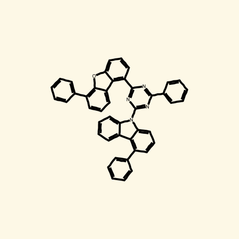 c1ccc(-c2nc(-c3cccc4oc5c(-c6ccccc6)cccc5c34)nc(-n3c4ccccc4c4c(-c5ccccc5)cccc43)n2)cc1